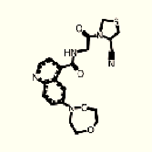 N#CC1CSCN1C(=O)CNC(=O)c1ccnc2ccc(N3CCCOCC3)cc12